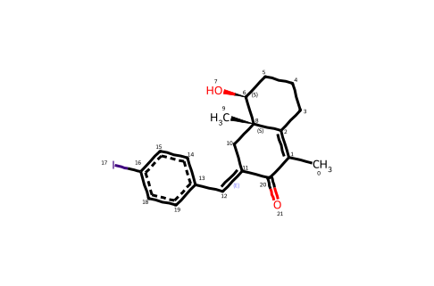 CC1=C2CCC[C@H](O)[C@@]2(C)C/C(=C\c2ccc(I)cc2)C1=O